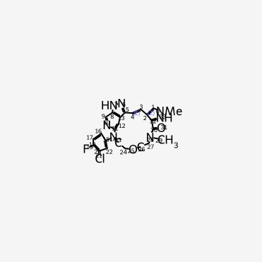 CN/C=C1/C=C/c2n[nH]c3cnc(cc23)N(c2ccc(F)c(Cl)c2)CCOCCN(C)C(=O)C1=N